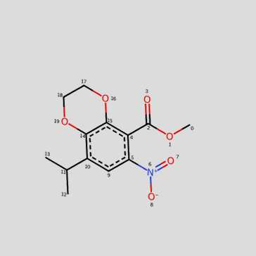 COC(=O)c1c([N+](=O)[O-])cc(C(C)C)c2c1OCCO2